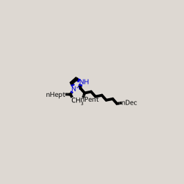 CCCCCCCCCCCCCCCCC(CCCCC)c1[nH]cc[n+]1C(C)CCCCCCC